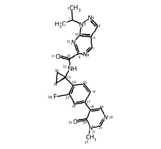 CC(C)n1ncc2cnc(C(=O)NC3(c4ccc(-c5cncn(C)c5=O)cc4F)CC3)nc21